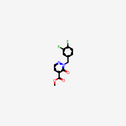 COC(=O)c1ccnn(Cc2ccc(F)c(F)c2)c1=O